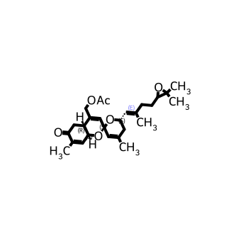 CC(=O)OCC1=C[C@]2(C=C(C)C[C@@H](/C=C(\C)CCC3OC3(C)C)O2)O[C@@H]2C=C(C)C(=O)C[C@H]12